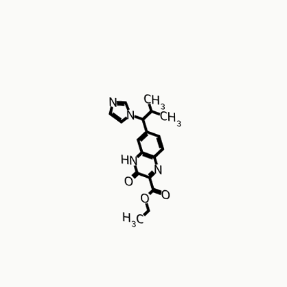 CCOC(=O)c1nc2ccc(C(C(C)C)n3ccnc3)cc2[nH]c1=O